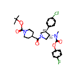 CN(C(=O)Oc1ccc(F)cc1)[C@@H]1CN(C(=O)C2CCN(C(=O)OC(C)(C)C)CC2)C[C@H]1c1ccc(Cl)cc1